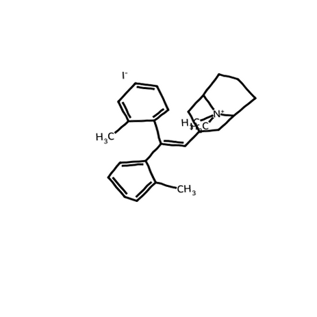 Cc1ccccc1C(=CC1CC2CCCC(C1)[N+]2(C)C)c1ccccc1C.[I-]